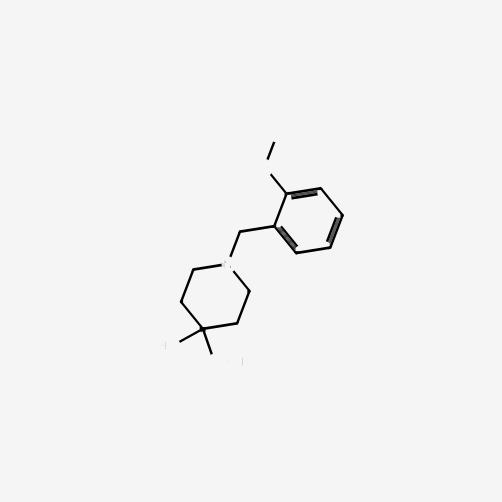 O=C(O)C1(O)CCN(Cc2ccccc2OC(F)(F)F)CC1